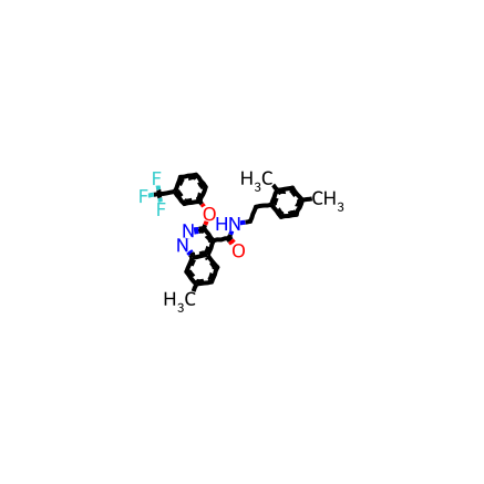 Cc1ccc(CCNC(=O)c2c(Oc3cccc(C(F)(F)F)c3)nnc3cc(C)ccc23)c(C)c1